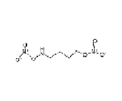 O=[N+]([O-])OCCCCNO[N+](=O)[O-]